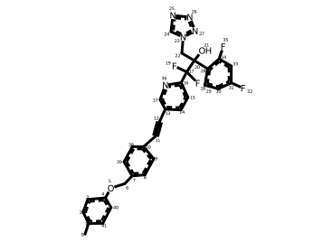 Cc1ccc(OCc2ccc(C#Cc3ccc(C(F)(F)C(O)(Cn4cnnn4)c4ccc(F)cc4F)nc3)cc2)cc1